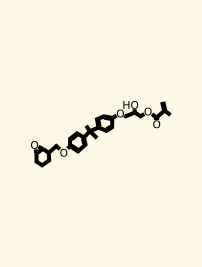 C=C(C)C(=O)OCC(O)COc1ccc(C(C)(C)c2ccc(OCC3CCCC4OC34)cc2)cc1